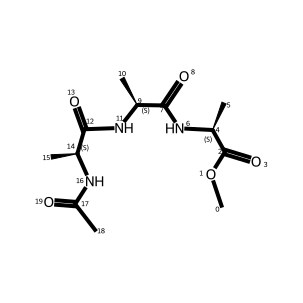 COC(=O)[C@H](C)NC(=O)[C@H](C)NC(=O)[C@H](C)NC(C)=O